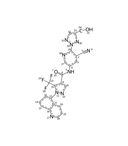 N#Cc1cc(NC(=O)c2cnn(-c3cccc4ncccc34)c2C(F)(F)F)cnc1-n1ncc(CO)n1